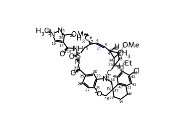 CC[C@H]1[C@@H](OC)[C@H]2/C=C\[C@H](C)CS(=O)(NC(=O)c3cn(C)nc3OC)=NC(=O)c3ccc4c(c3)N(C[C@@H]1C2C)C[C@@]1(CCCc2cc(Cl)ccc21)CO4